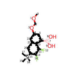 COCOc1cc(B(O)O)c2c(F)c(F)c([Si](C)(C)C)cc2c1